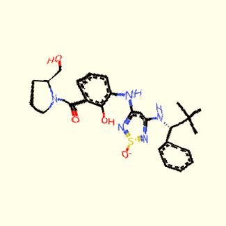 CC(C)(C)[C@@H](Nc1n[s+]([O-])nc1Nc1cccc(C(=O)N2CCC[C@H]2CO)c1O)c1ccccc1